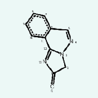 O=C1CN2N=Cc3ccccc3C2=N1